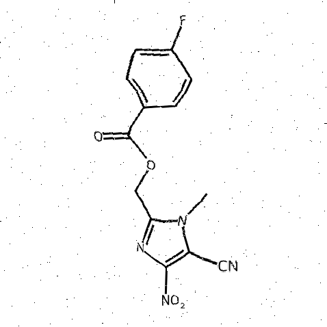 Cn1c(COC(=O)c2ccc(F)cc2)nc([N+](=O)[O-])c1C#N